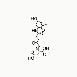 O=C(O)CC(N=NC(=O)CCC(=O)NC(CC(=O)O)C(=O)O)C(=O)O